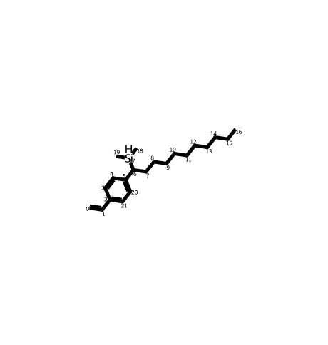 C=Cc1ccc(C(CCCCCCCCCC)[SiH](C)C)cc1